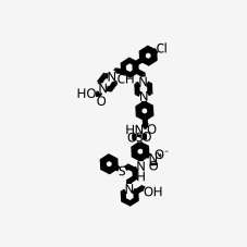 CC1(CN2CCN(C(=O)O)CC2)CCC(c2ccc(Cl)cc2)=C(CN2CCN(c3ccc(C(=O)NS(=O)(=O)c4ccc(NC(CCN5CCCCC5CO)CSc5ccccc5)c([N+](=O)[O-])c4)cc3)CC2)C1